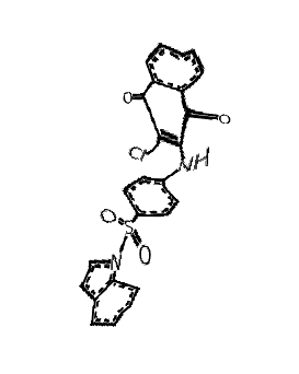 O=C1C(Cl)=C(Nc2ccc(S(=O)(=O)n3ccc4ccccc43)cc2)C(=O)c2ccccc21